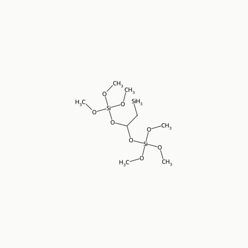 CO[Si](OC)(OC)OC(C[SiH3])O[Si](OC)(OC)OC